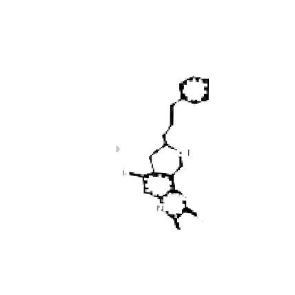 Cl.O=c1[nH]c2cc(Br)c3c(c2[nH]c1=O)CNC(CCCc1ccccc1)C3